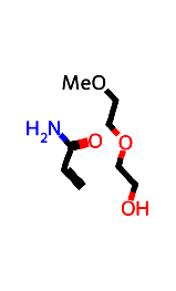 C=CC(N)=O.COCCOCCO